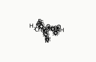 Nc1c(Cl)cc(C[C@@H](OC(=O)N2CCC3(CC2)OC(=O)Nc2ccccc23)C(=O)N2CCC(n3ccnc3)CC2)cc1C(F)(F)F